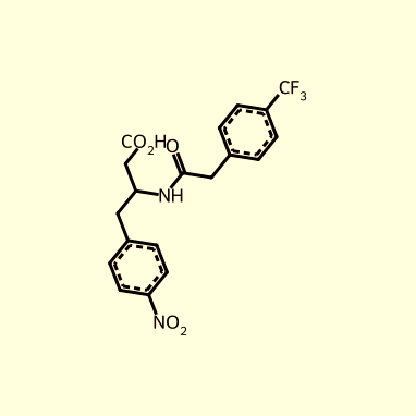 O=C(O)CC(Cc1ccc([N+](=O)[O-])cc1)NC(=O)Cc1ccc(C(F)(F)F)cc1